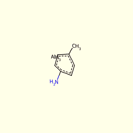 Cc1ccc(N)cc1.[AlH3]